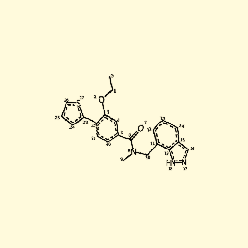 CCOc1cc(C(=O)N(C)Cc2cccc3cn[nH]c23)ccc1-c1cccs1